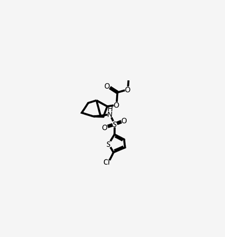 COC(=O)OC1CC2CCC1C2NS(=O)(=O)c1ccc(Cl)s1